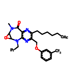 CC(=O)OCCCCCc1nc2c(nc1COc1cccc(C(F)(F)F)c1)N(CC(C)C)C1OC1N(C)C2=O